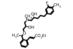 CCOC(=O)/C=C/c1ccccc1[C@@H](C)OC[C@H](O)CN(C)C[C@H](O)CCCc1ccc(C)c(F)c1